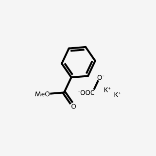 COC(=O)c1ccccc1.O=C([O-])[O-].[K+].[K+]